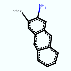 CCCCCCc1cc2cc3ccccc3cc2cc1N